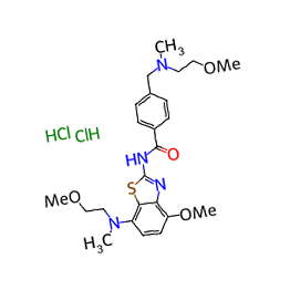 COCCN(C)Cc1ccc(C(=O)Nc2nc3c(OC)ccc(N(C)CCOC)c3s2)cc1.Cl.Cl